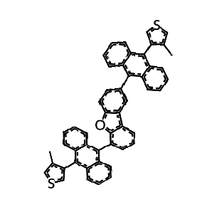 Cc1cscc1-c1c2ccccc2c(-c2ccc3oc4c(-c5c6ccccc6c(-c6cscc6C)c6ccccc56)cccc4c3c2)c2ccccc12